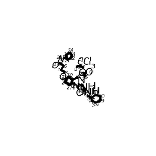 CC(COC(=O)CN1Cc2cc(OCCCC(=O)N(C)c3ccccc3)ccc2N=C1NC(=O)NCC1CCCCC1)C(Cl)(Cl)Cl